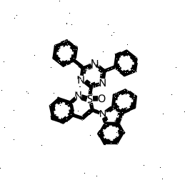 O=S1(c2nc(-c3ccccc3)nc(-c3ccccc3)n2)=Nc2ccccc2C=C1n1c2ccccc2c2ccccc21